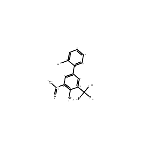 Nc1c([N+](=O)[O-])cc(-c2ccccc2F)cc1C(F)(F)F